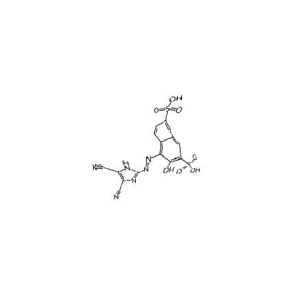 N#Cc1nc(N=Nc2c(O)c(S(=O)(=O)O)cc3cc(S(=O)(=O)O)ccc23)[nH]c1C#N